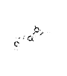 COc1cnc2c(-c3nc4c(C)cc5c(c4s3)OCC(OC(=O)N(C)c3ccc(N(C)C)nc3)O5)cc(C)cc2n1